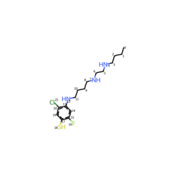 CCCCNCCNCCCCNc1cc(F)c(S)cc1Cl